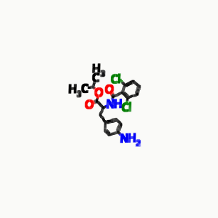 CC(C)OC(=O)C(Cc1ccc(N)cc1)NC(=O)c1c(Cl)cccc1Cl